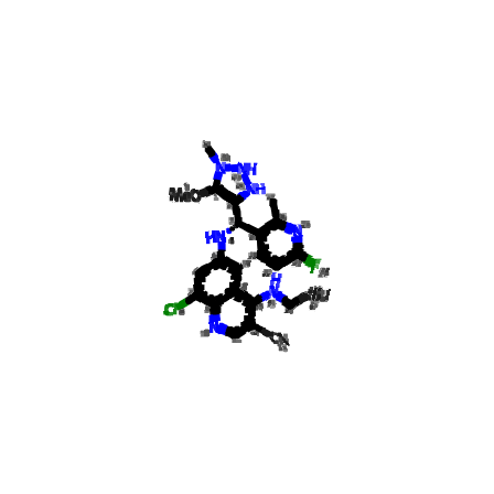 COC1=C([C@@H](Nc2cc(Cl)c3ncc(C#N)c(NCC(C)(C)C)c3c2)c2ccc(F)nc2C)NNN1C